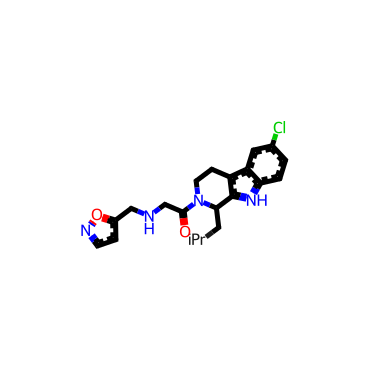 CC(C)CC1c2[nH]c3ccc(Cl)cc3c2CCN1C(=O)CNCc1ccno1